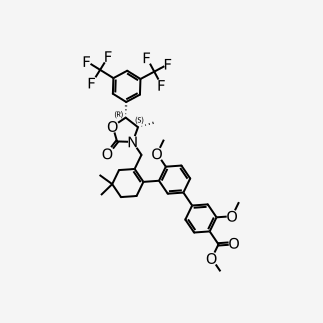 COC(=O)c1ccc(-c2ccc(OC)c(C3=C(CN4C(=O)O[C@H](c5cc(C(F)(F)F)cc(C(F)(F)F)c5)[C@@H]4C)CC(C)(C)CC3)c2)cc1OC